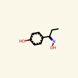 CC/C(=N/O)c1ccc(O)cc1